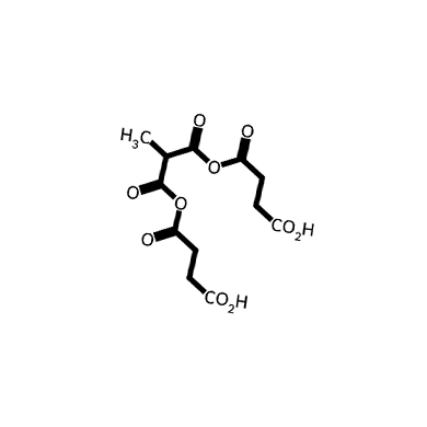 CC(C(=O)OC(=O)CCC(=O)O)C(=O)OC(=O)CCC(=O)O